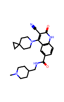 CN1CCC(CNC(=O)c2ccc3[nH]c(=O)c(C#N)c(N4CCC5(CC4)CC5)c3c2)CC1